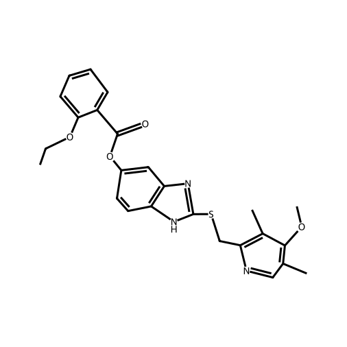 CCOc1ccccc1C(=O)Oc1ccc2[nH]c(SCc3ncc(C)c(OC)c3C)nc2c1